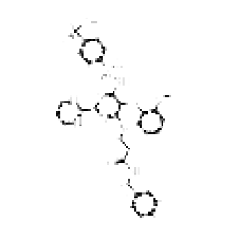 COc1ccccc1Oc1c(NS(=O)(=O)c2ccc(C(C)(C)C)cc2)nc(-c2ncccn2)nc1OCCC(=O)NCc1ccccc1